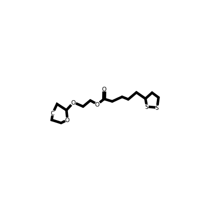 O=C(CCCCC1CCSS1)OCCOC1CCCCO1